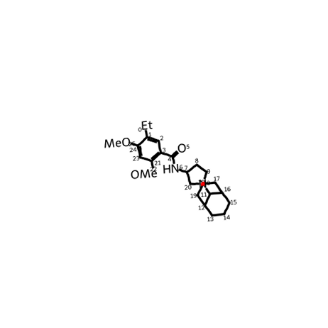 CCc1cc(C(=O)NC2CCN(C3C4CCCC3CCC4)C2)c(OC)cc1OC